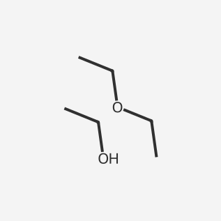 CCO.CCOCC